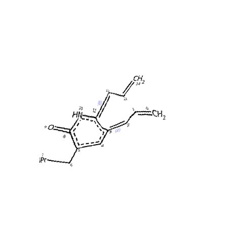 C=C/C=c1/cc(CC(C)C)c(=O)[nH]/c1=C/C=C